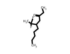 CCCCCC(CC(=O)CC)C(C)(F)F